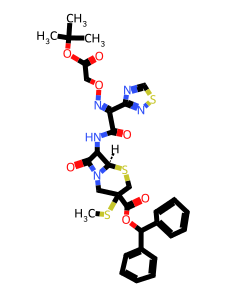 CSC1(C(=O)OC(c2ccccc2)c2ccccc2)CS[C@@H]2C(NC(=O)C(=NOCC(=O)OC(C)(C)C)c3ncsn3)C(=O)N2C1